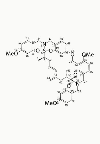 C=CC[C@@H](C)S(=O)(=O)N(Cc1ccc(OC)cc1)Cc1ccc(OCc2cc(CN(Cc3ccc(OC)cc3)S(=O)(=O)[C@@H](C)CC=C)ccc2OC)cc1